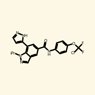 CC(C)n1ncc2cc(C(=O)Nc3ccc(OC(F)(F)Cl)cc3)cc(-c3ccn[nH]3)c21